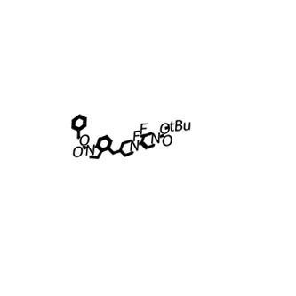 CC(C)(C)OC(=O)N1CC=C(N2CCC(Cc3cccc4c3CCN4C(=O)OCc3ccccc3)CC2)C(F)(F)C1